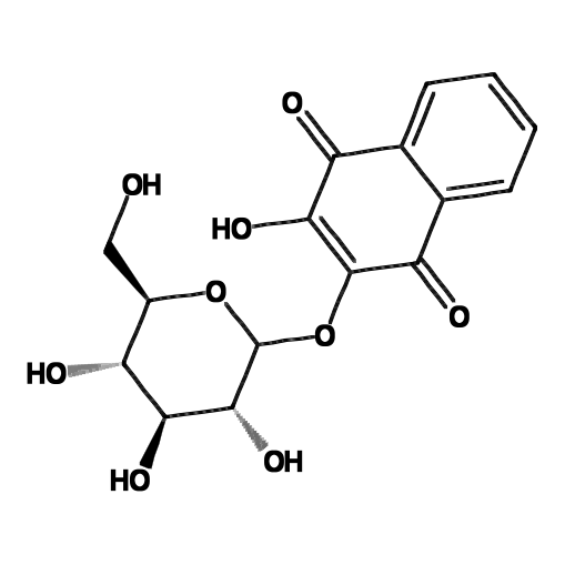 O=C1C(O)=C(OC2O[C@H](CO)[C@@H](O)[C@H](O)[C@H]2O)C(=O)c2ccccc21